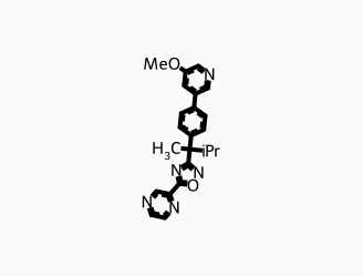 COc1cncc(-c2ccc(C(C)(c3noc(-c4cnccn4)n3)C(C)C)cc2)c1